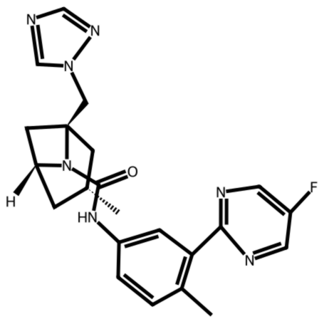 Cc1ccc(NC(=O)N2[C@@H]3C[C@@H](C)C[C@@]2(Cn2cncn2)C3)cc1-c1ncc(F)cn1